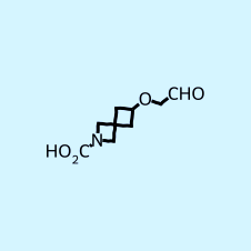 O=CCOC1CC2(C1)CN(C(=O)O)C2